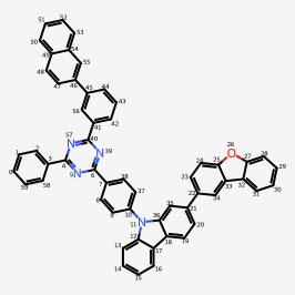 c1ccc(-c2nc(-c3ccc(-n4c5ccccc5c5ccc(-c6ccc7oc8ccccc8c7c6)cc54)cc3)nc(-c3cccc(-c4ccc5ccccc5c4)c3)n2)cc1